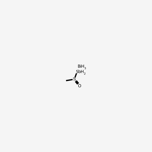 [BiH3].[CH3][Ti](=[O])[SbH2]